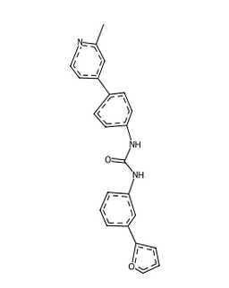 Cc1cc(-c2ccc(NC(=O)Nc3cccc(-c4ccco4)c3)cc2)ccn1